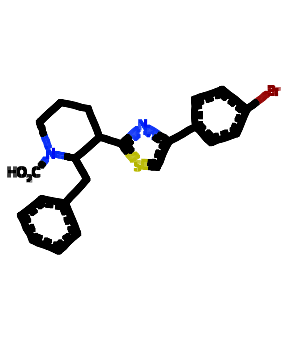 O=C(O)N1CCCC(c2nc(-c3ccc(Br)cc3)cs2)C1Cc1ccccc1